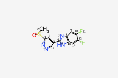 C[S+]([O-])c1cc(-c2nc3cc(F)c(F)cc3[nH]2)cnn1